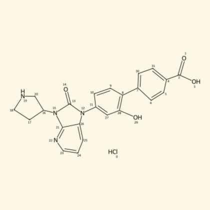 Cl.O=C(O)c1ccc(-c2ccc(-n3c(=O)n(C4CCNC4)c4ncccc43)cc2O)cc1